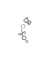 C[C@@H](C(=O)Nc1ccc(Cl)cc1)[C@H]1CC[C@@H](c2ccnc3ccnn32)CC1